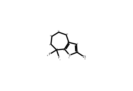 CCc1cc2c(s1)C(F)(F)CCCC2